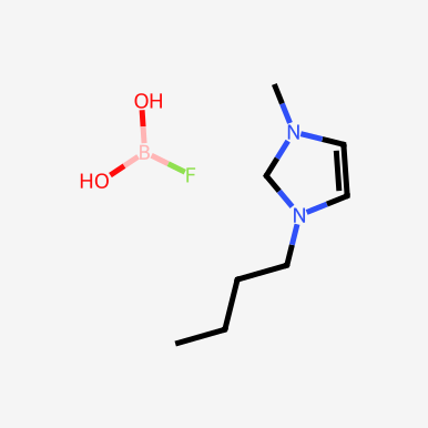 CCCCN1C=CN(C)C1.OB(O)F